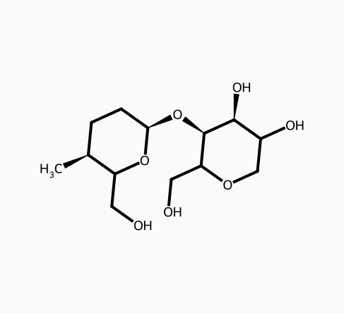 C[C@H]1CC[C@@H](O[C@@H]2C(CO)OCC(O)[C@@H]2O)OC1CO